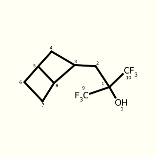 OC(CC1CC2CCC21)(C(F)(F)F)C(F)(F)F